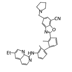 CCc1cnc2c(Nc3cccc(-c4cccc(-c5nc6cc(CN7CCCC7)cc(C#N)c6o5)c4C)c3C)nccc2c1